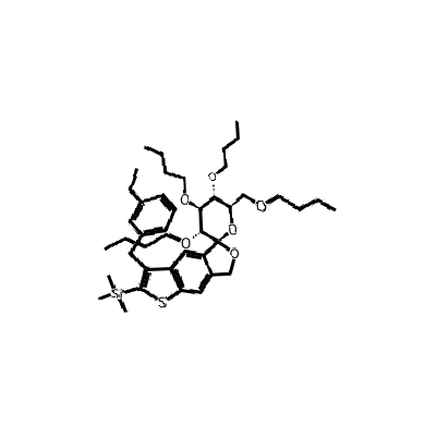 CCCCOC[C@H]1O[C@]2(OCc3cc4sc([Si](C)(C)C)c(Cc5cccc(CC)c5)c4cc32)[C@H](OCCCC)[C@@H](OCCCC)[C@@H]1OCCCC